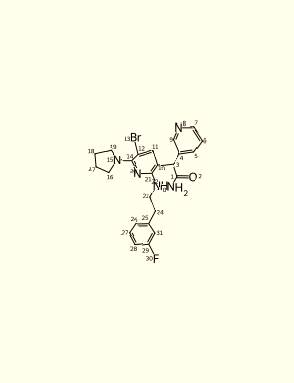 NC(=O)C(c1cccnc1)c1cc(Br)c(N2CCCC2)nc1NCCc1cccc(F)c1